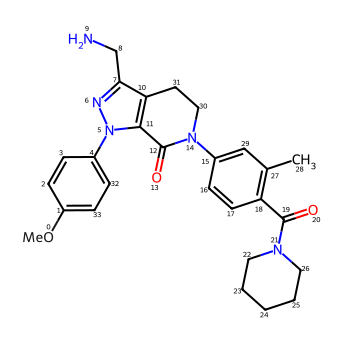 COc1ccc(-n2nc(CN)c3c2C(=O)N(c2ccc(C(=O)N4CCCCC4)c(C)c2)CC3)cc1